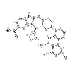 CC(Oc1ccccc1C1CCN(Cc2nc3ccc(C(=O)O)cc3n2C[C@@H]2CCO2)CC1)c1ccc(Cl)cc1F